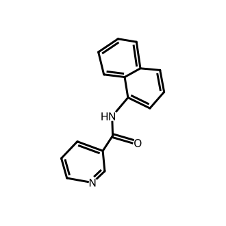 O=C(Nc1cccc2ccccc12)c1cccnc1